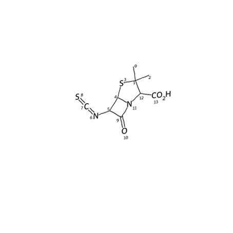 CC1(C)SC2C(N=C=S)C(=O)N2C1C(=O)O